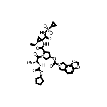 C=C[C@H]1C[C@@]1(NC(=O)C1C[C@@H](OC(=O)N2Cc3ccc4c(c3C2)OCO4)CN1C(=O)[C@@H](NC(=O)OC1CCCC1)C(C)(C)C)C(=O)NS(=O)(=O)C1CC1